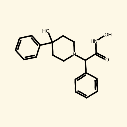 O=C(NO)C(c1ccccc1)N1CCC(O)(c2ccccc2)CC1